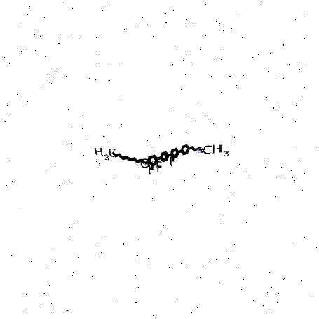 C/C=C/CCC1CC=C(c2ccc(-c3ccc(-c4ccc(OCCCCCCCCC)c(F)c4F)cc3)c(F)c2)CC1